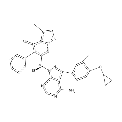 CC[C@@H](c1cc2scc(C)n2c(=O)c1-c1ccccc1)n1nc(-c2ccc(OC3CC3)c(C)c2)c2c(N)ncnc21